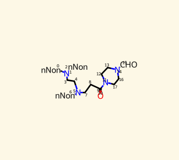 CCCCCCCCCN(CCCCCCCCC)CCN(CCCCCCCCC)CCC(=O)N1CCN(C=O)CC1